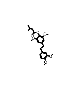 COc1ccc(CCc2cc(OC)c(OC(=O)CC(C)C)c(OC)c2)cc1OC